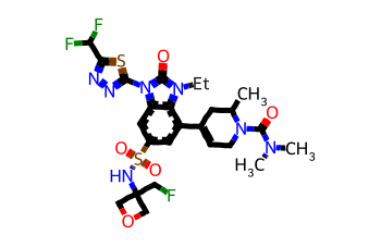 CCn1c(=O)n(-c2nnc(C(F)F)s2)c2cc(S(=O)(=O)NC3(CF)COC3)cc(C3=CCN(C(=O)N(C)C)C(C)C3)c21